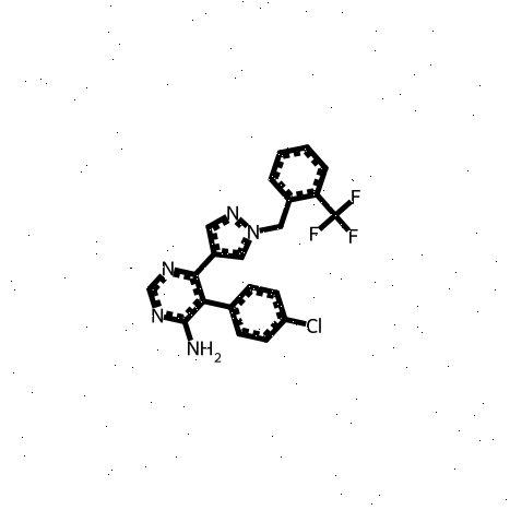 Nc1ncnc(-c2cnn(Cc3ccccc3C(F)(F)F)c2)c1-c1ccc(Cl)cc1